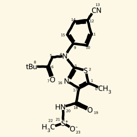 Cc1sc(N(CC(=O)C(C)(C)C)c2ccc(C#N)cc2)nc1C(=O)N[S+](C)[O-]